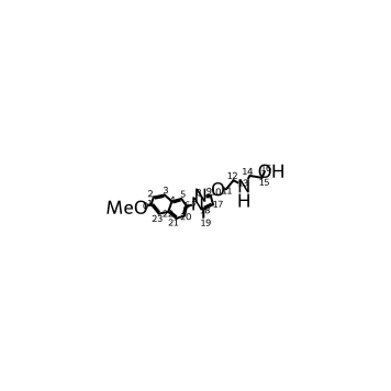 COc1ccc2cc(-n3nc(OCCNCCO)cc3C)ccc2c1